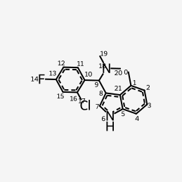 Cc1cccc2[nH]cc(C(c3ccc(F)cc3Cl)N(C)C)c12